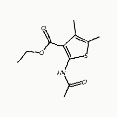 CCOC(=O)c1c(NC(C)=O)sc(C)c1C